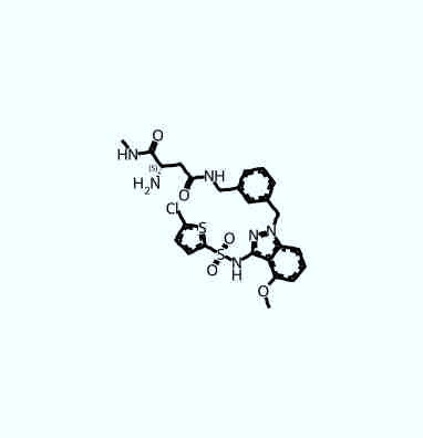 CNC(=O)[C@@H](N)CC(=O)NCc1cccc(Cn2nc(NS(=O)(=O)c3ccc(Cl)s3)c3c(OC)cccc32)c1